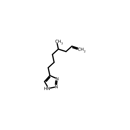 C=CCC(C)CCCc1c[nH]nn1